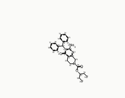 Nc1nc2c(c(=O)n1C(c1ccccc1)c1ccccc1)CCN(C(=O)OC(CF)CF)C2